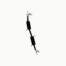 CC[CH]C#CC#CC(C)C